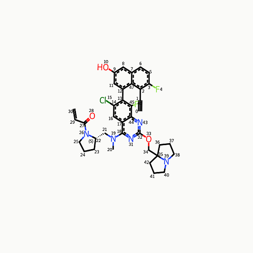 C#Cc1c(F)ccc2cc(O)cc(-c3c(Cl)cc4c(N(C)C[C@@H]5CCCN5C(=O)C=C)nc(OCC56CCCN5CCC6)nc4c3F)c12